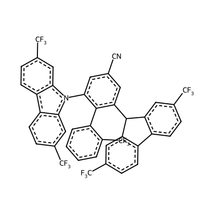 N#Cc1cc(C2c3cc(C(F)(F)F)ccc3-c3ccc(C(F)(F)F)cc32)c(-c2ccccc2C(F)(F)F)c(-n2c3cc(C(F)(F)F)ccc3c3ccc(C(F)(F)F)cc32)c1